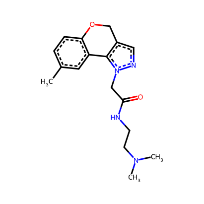 Cc1ccc2c(c1)-c1c(cnn1CC(=O)NCCN(C)C)CO2